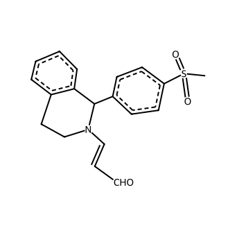 CS(=O)(=O)c1ccc(C2c3ccccc3CCN2C=CC=O)cc1